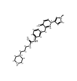 Cn1cc(-n2ccc(=O)c(Cc3cccc(NC(=O)OCCCN4CCOCC4)c3)n2)cn1